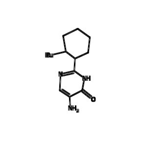 CCC(C)C1CCCCC1c1ncc(N)c(=O)[nH]1